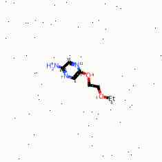 CCOCCOc1cnc(N)cn1